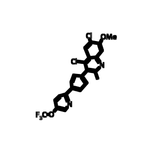 COc1cc2nc(C)c(-c3ccc(-c4ccc(OC(F)(F)F)cn4)cc3)c(Cl)c2cc1Cl